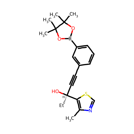 CC[C@](O)(C#Cc1cccc(B2OC(C)(C)C(C)(C)O2)c1)c1scnc1C